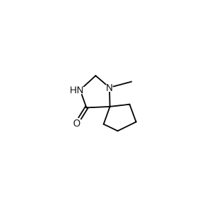 CN1CNC(=O)C12CCCC2